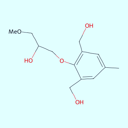 COCC(O)COc1c(CO)cc(C)cc1CO